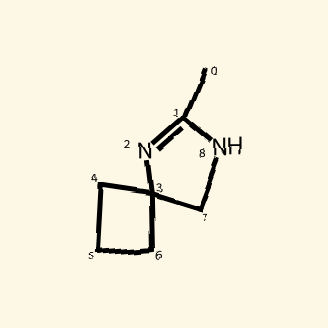 CC1=NC2(CCC2)CN1